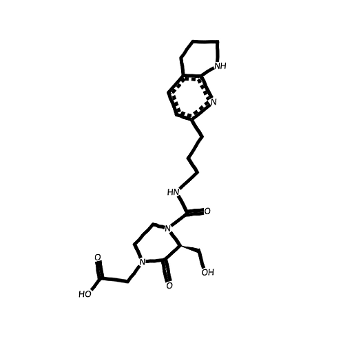 O=C(O)CN1CCN(C(=O)NCCCc2ccc3c(n2)NCCC3)[C@@H](CO)C1=O